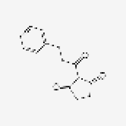 O=C1CCC(=O)C1C(=O)CCc1ccccc1